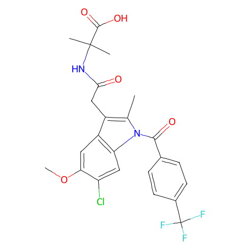 COc1cc2c(CC(=O)NC(C)(C)C(=O)O)c(C)n(C(=O)c3ccc(C(F)(F)F)cc3)c2cc1Cl